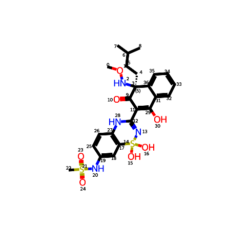 CON[C@]1(CCC(C)C)C(=O)C(C2=NS(O)(O)c3cc(NS(C)(=O)=O)ccc3N2)=C(O)c2ccccc21